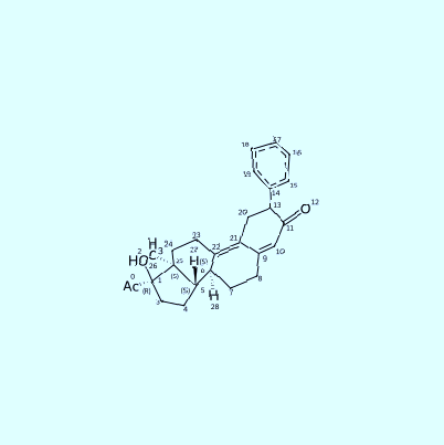 CC(=O)[C@@]1(O)CC[C@H]2[C@@H]3CCC4=CC(=O)C(c5ccccc5)CC4=C3CC[C@@]21C